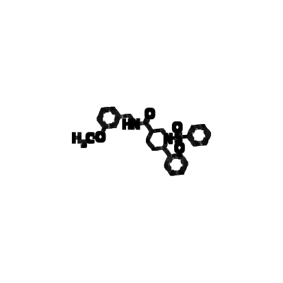 COc1cccc(CNC(=O)C2CCC(c3ccccc3)N(S(=O)(=O)c3ccccc3)C2)c1